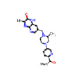 CCc1nc2ncc(CN3CCN(c4ccc(C(=O)NC)nc4)CC3C)cc2[nH]c1=O